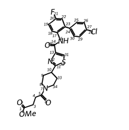 COC(=O)CCC(=O)N1CCC(c2nc(C(=O)Nc3ccc(F)cc3-c3ccc(Cl)cc3)cs2)CC1